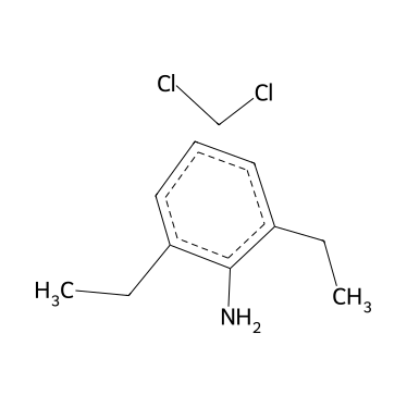 CCc1cccc(CC)c1N.ClCCl